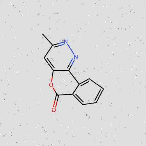 Cc1cc2oc(=O)c3ccccc3c2nn1